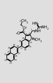 CCOC(=O)c1c(CNC(=N)N)n(C)c2ccc(-c3ccc4ccccc4c3)cc12